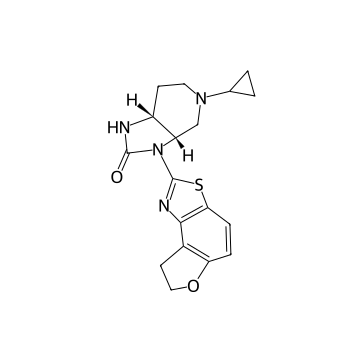 O=C1N[C@@H]2CCN(C3CC3)C[C@@H]2N1c1nc2c3c(ccc2s1)OCC3